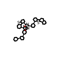 c1ccc(-c2cccc(-c3ccc(-c4nc(-c5cccc(-c6cccc7c6sc6c8ccccc8ccc76)c5)nc(-c5cccc6sc7cccc(-c8ccccc8)c7c56)n4)cc3)c2)cc1